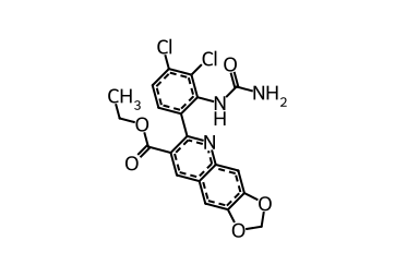 CCOC(=O)c1cc2cc3c(cc2nc1-c1ccc(Cl)c(Cl)c1NC(N)=O)OCO3